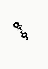 C=Cc1ccc(CSc2nc3ccccc3s2)cc1